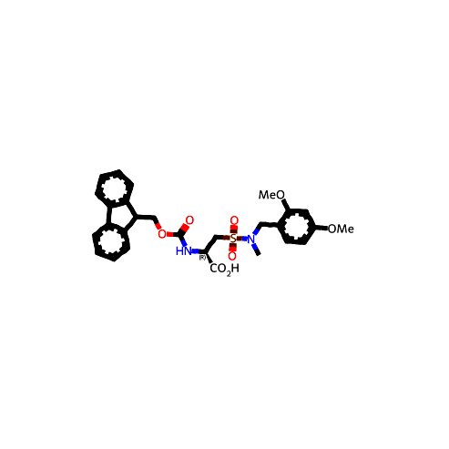 COc1ccc(CN(C)S(=O)(=O)C[C@H](NC(=O)OCC2c3ccccc3-c3ccccc32)C(=O)O)c(OC)c1